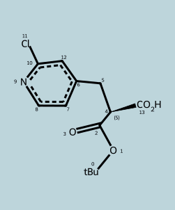 CC(C)(C)OC(=O)[C@@H](Cc1ccnc(Cl)c1)C(=O)O